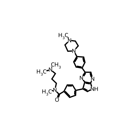 CN(C)CCCN(C)C(=O)c1ccc(-c2c[nH]c3ncc(-c4ccc(N5CCN(C)CC5)cc4)nc23)cc1